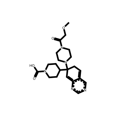 COCC(=O)N1CCN(C2(C3CCN(C(=O)O)CC3)C=c3ncncc3=CC2)CC1